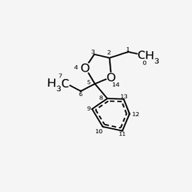 CCC1COC(CC)(c2ccccc2)O1